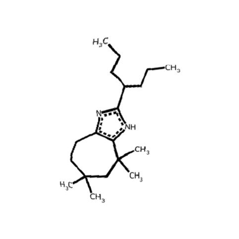 CCCC(CCC)c1nc2c([nH]1)C(C)(C)CC(C)(C)CC2